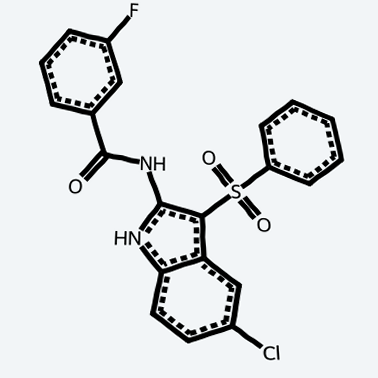 O=C(Nc1[nH]c2ccc(Cl)cc2c1S(=O)(=O)c1ccccc1)c1cccc(F)c1